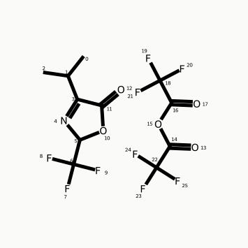 CC(C)C1=NC(C(F)(F)F)OC1=O.O=C(OC(=O)C(F)(F)F)C(F)(F)F